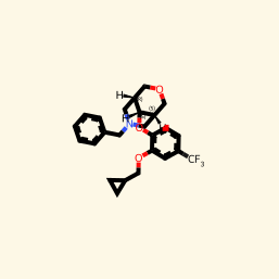 FC(F)(F)c1ccc(O[C@H]2[C@@H]3COC[C@H]2CN(Cc2ccccc2)C3)c(OCC2CC2)c1